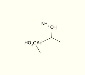 CC(=O)C(C)O.CC(=O)O.N